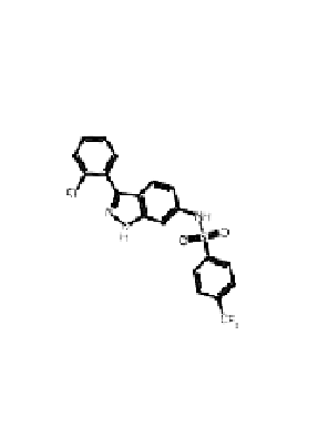 O=S(=O)(Nc1ccc2c(-c3ccccc3Cl)n[nH]c2c1)c1ccc(C(F)(F)F)cc1